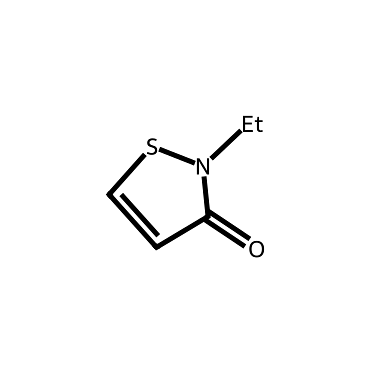 CCn1sccc1=O